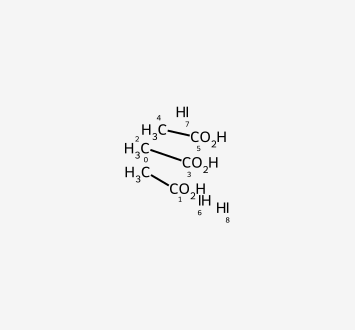 CC(=O)O.CC(=O)O.CC(=O)O.I.I.I